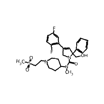 CN(C(=O)N1CC(c2cc(F)ccc2F)=CC1(CO)c1ccccc1)C1CCN(CCS(C)(=O)=O)CC1